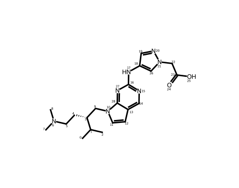 CC(C)[C@H](CCN(C)C)Cn1ccc2cnc(Nc3cnn(CC(=O)O)c3)nc21